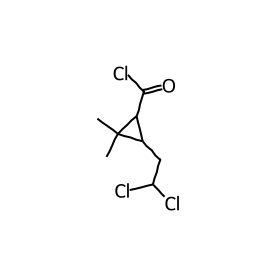 CC1(C)C(CC(Cl)Cl)C1C(=O)Cl